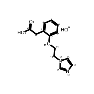 Cl.O=C(O)Cc1ccccc1OCCn1ccnc1